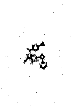 CC(c1ccc(C2CC2)nc1)n1nc(C#N)c2c(=O)[nH]c(C3CCC3c3ncccn3)nc21